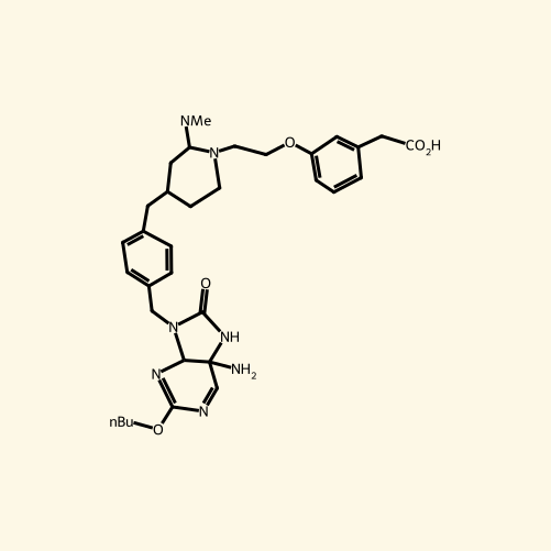 CCCCOC1=NC2N(Cc3ccc(CC4CCN(CCOc5cccc(CC(=O)O)c5)C(NC)C4)cc3)C(=O)NC2(N)C=N1